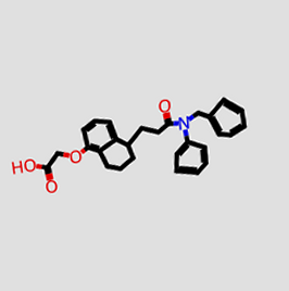 O=C(O)COc1cccc2c1CCCC2CCC(=O)N(Cc1ccccc1)c1ccccc1